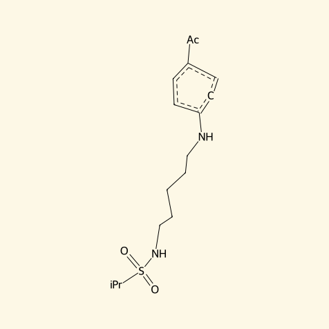 CC(=O)c1ccc(NCCCCCNS(=O)(=O)C(C)C)cc1